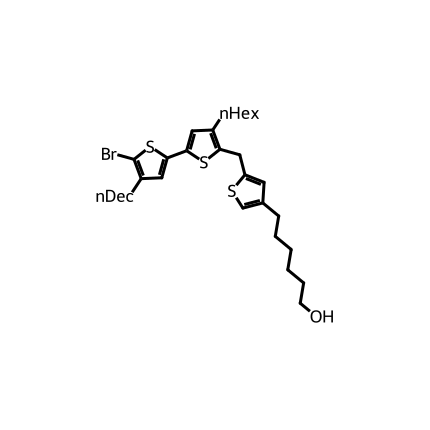 CCCCCCCCCCc1cc(-c2cc(CCCCCC)c(Cc3cc(CCCCCCO)cs3)s2)sc1Br